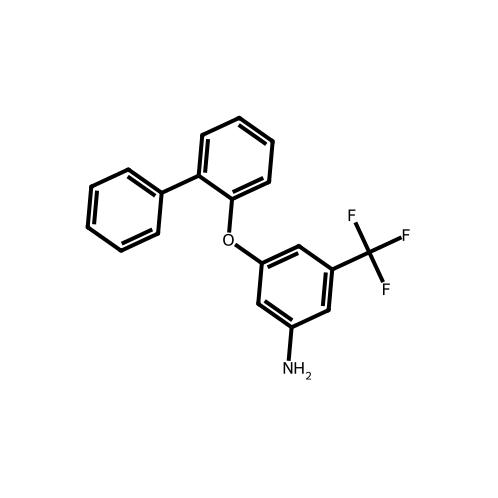 Nc1cc(Oc2ccccc2-c2ccccc2)cc(C(F)(F)F)c1